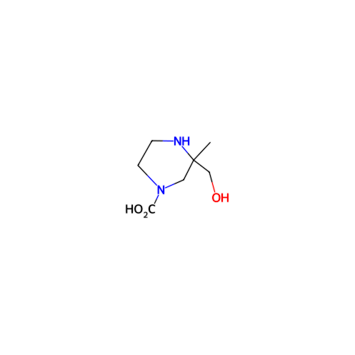 CC1(CO)CN(C(=O)O)CCN1